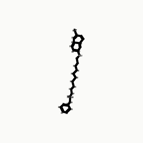 Brc1ccc2cc(OCCCCCCCCCCNCc3ccccc3)ccc2c1